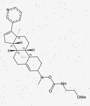 COCCNC(=O)ON(C)C1C=C2CC[C@H]3[C@H](CC[C@]4(C)C(c5cccnc5)=CC[C@@H]34)[C@@]2(C)CC1